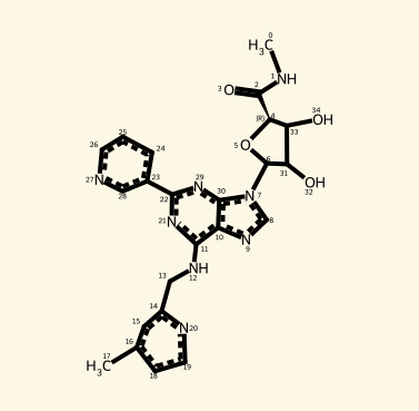 CNC(=O)[C@@H]1OC(n2cnc3c(NCc4cc(C)ccn4)nc(-c4cccnc4)nc32)C(O)C1O